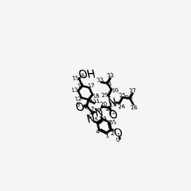 COc1ccc2nc(C(=O)C3(C)CCC(CO)CC3)n(CC(=O)N(CCC(C)C)CCC(C)C)c2c1